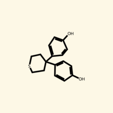 Oc1ccc(C2(c3ccc(O)cc3)CCSCC2)cc1